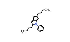 CCCCC1=CC2=CC(CCCC)N(c3ccccc3)C2=C1